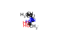 [CH2][C@@H]1C[C@@H](Nc2ccnc3cc(-c4cccc([Si](C)(C)C)c4)nn23)[C@H](O)[C@@H]1O